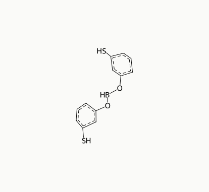 Sc1cccc(OBOc2cccc(S)c2)c1